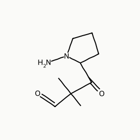 CC(C)(C=O)C(=O)C1CCCN1N